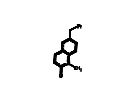 CC(C)Cc1ccc2c(ccc(=O)n2C)c1